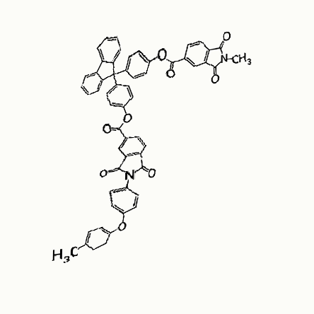 CC1=CC=C(Oc2ccc(N3C(=O)c4ccc(C(=O)Oc5ccc(C6(c7ccc(OC(=O)c8ccc9c(c8)C(=O)N(C)C9=O)cc7)c7ccccc7-c7ccccc76)cc5)cc4C3=O)cc2)CC1